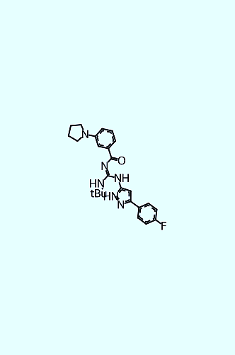 CC(C)(C)N/C(=N/C(=O)c1cccc(N2CCCC2)c1)Nc1cc(-c2ccc(F)cc2)n[nH]1